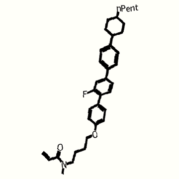 C=CC(=O)N(C)CCCCOc1ccc(-c2ccc(-c3ccc(C4CCC(CCCCC)CC4)cc3)cc2F)cc1